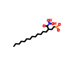 CCCCCCCCCCCCCC(CCP(=O)=O)C(=O)N(O)O